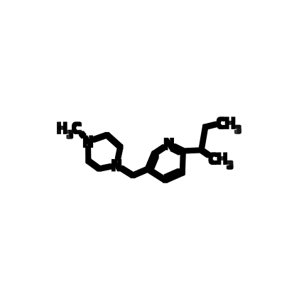 CCC(C)c1ccc(CN2CCN(C)CC2)cn1